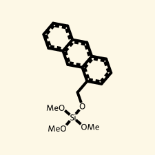 CO[Si](OC)(OC)OCc1cccc2cc3ccccc3cc12